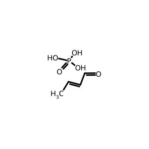 CC=CC=O.O=P(O)(O)O